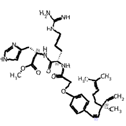 C=C[C@@](C)(/C=C\c1ccc(OCC(=O)N[C@@H](CCCNC(=N)N)C(=O)N[C@@H](Cc2c[nH]cn2)C(=O)OC)cc1)CCC=C(C)C